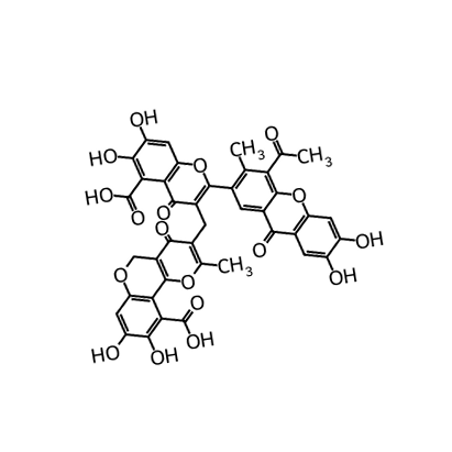 CC(=O)c1c(C)c(-c2oc3cc(O)c(O)c(C(=O)O)c3c(=O)c2Cc2c(C)oc3c(c2=O)COc2cc(O)c(O)c(C(=O)O)c2-3)cc2c(=O)c3cc(O)c(O)cc3oc12